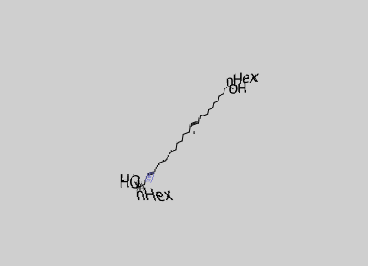 CCCCCCC(O)CCCCCCCCCC=C[CH]CCCCCCC/C=C/C[C@H](O)CCCCCC